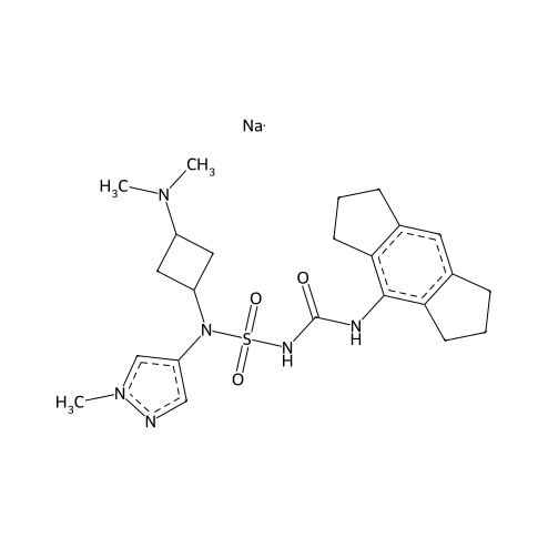 CN(C)C1CC(N(c2cnn(C)c2)S(=O)(=O)NC(=O)Nc2c3c(cc4c2CCC4)CCC3)C1.[Na]